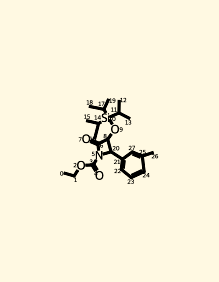 CCOC(=O)N1C(=O)C(O[Si](C(C)C)(C(C)C)C(C)C)C1c1cccc(C)c1